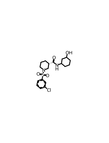 O=C(NC1CCCC(O)C1)[C@H]1CCCN(S(=O)(=O)c2cccc(Cl)c2)C1